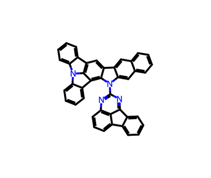 c1ccc2c(c1)-c1cccc3nc(-n4c5cc6ccccc6cc5c5cc6c7ccccc7n7c8ccccc8c(c54)c67)nc-2c13